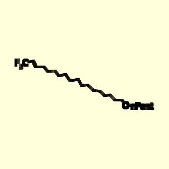 CCCCCOCCCCCCCCCCCCCCC/C=C/C(F)(F)F